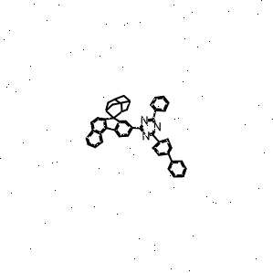 c1ccc(-c2ccc(-c3nc(-c4ccccc4)nc(-c4ccc5c(c4)C4(c6ccc7ccccc7c6-5)C5CC6CC(C5)CC4C6)n3)cc2)cc1